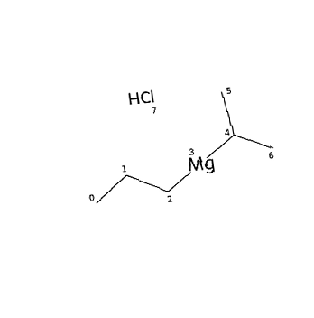 CC[CH2][Mg][CH](C)C.Cl